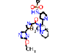 CCOc1cncc(-c2cnc(C(=O)N[C@@H](C[C@@H]3CCCCN3C)c3cc(NS(=O)(=O)C4CC4)ccn3)s2)n1